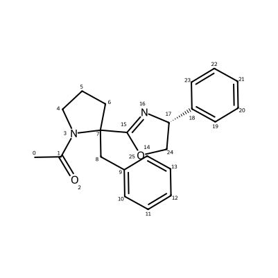 CC(=O)N1CCCC1(Cc1ccccc1)C1=N[C@H](c2ccccc2)CO1